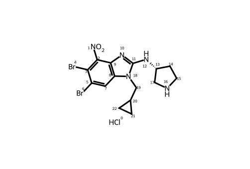 Cl.O=[N+]([O-])c1c(Br)c(Br)cc2c1nc(N[C@@H]1CCNC1)n2CC1CC1